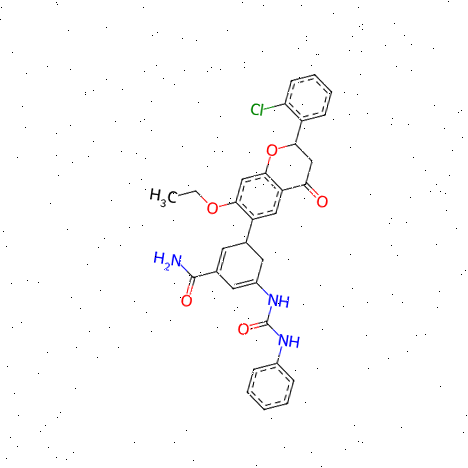 CCOc1cc2c(cc1C1C=C(C(N)=O)C=C(NC(=O)Nc3ccccc3)C1)C(=O)CC(c1ccccc1Cl)O2